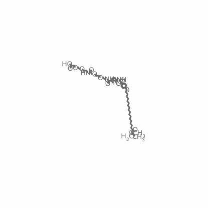 CC(C)(C)OC(=O)CCCCCCCCCCCCCCCCCOc1ccc(S(=O)(=O)Nc2ccc(C(=O)NCCOCCOCC(=O)NCCOCCOCC(=O)O)cn2)cc1